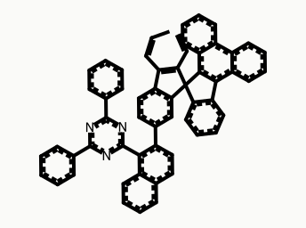 C=CC1=C(/C=C\C)c2ccc(-c3ccc4ccccc4c3-c3nc(-c4ccccc4)nc(-c4ccccc4)n3)cc2C12c1ccccc1-c1c2c2ccccc2c2ccccc12